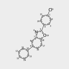 Clc1ccc(-c2nc3cc(-c4ccccc4)ccc3o2)cc1